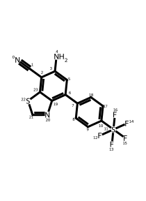 N#Cc1c(N)cc(-c2ccc(S(F)(F)(F)(F)F)cc2)c2ncsc12